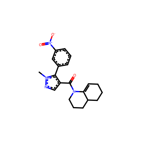 Cn1ncc(C(=O)N2CCCC3CCCC=C32)c1-c1cccc([N+](=O)[O-])c1